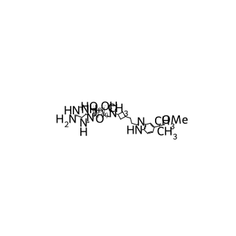 COCC(C)(C)c1ccc2[nH]c(CCC3CC(N(C)C[C@H]4O[C@@H](N5CNC6C(N)NCNC65)[C@H](O)[C@@H]4O)C3)nc2c1